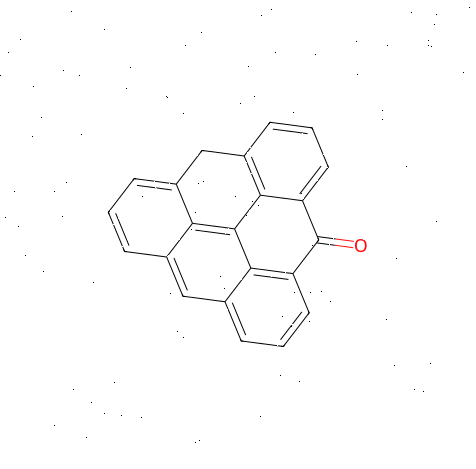 O=C1c2cccc3c2-c2c4c(cccc4cc4cccc1c24)C3